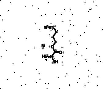 CCCCCCCCOC(=O)N(S)S.[Ni]